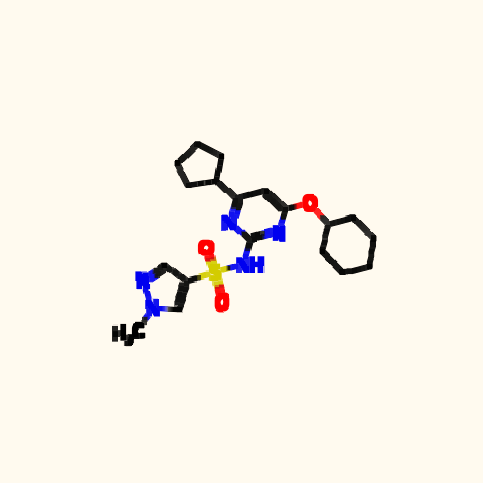 Cn1cc(S(=O)(=O)Nc2nc(OC3CCCCC3)cc(C3CCCC3)n2)cn1